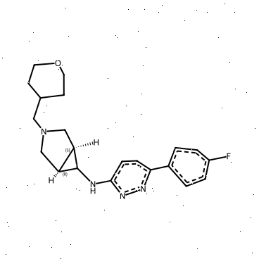 Fc1ccc(-c2ccc(NC3[C@H]4CN(CC5CCOCC5)C[C@@H]34)nn2)cc1